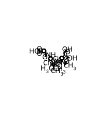 CC(=O)Nc1cc(N(CC(=O)O)CC(=O)O)ccc1/N=N/c1c(C#N)c(C(C)(C)C)nn1-c1c(Cl)cc(NC(=O)c2cccc(S(=O)(=O)O)c2)cc1Cl